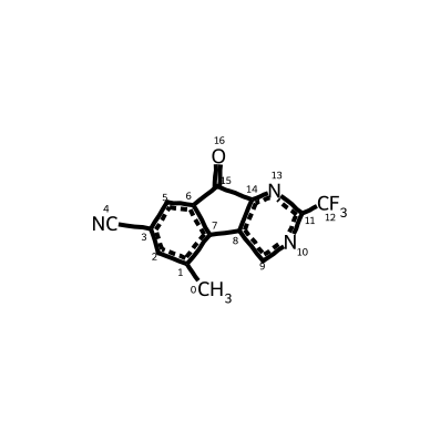 Cc1cc(C#N)cc2c1-c1cnc(C(F)(F)F)nc1C2=O